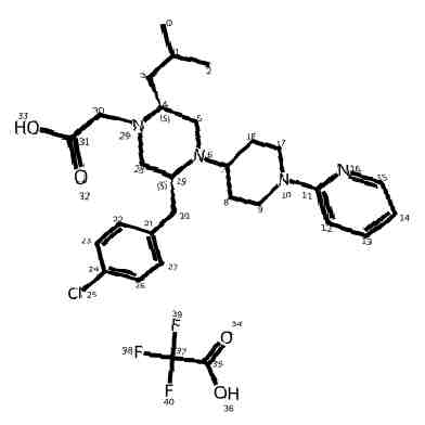 CC(C)C[C@H]1CN(C2CCN(c3ccccn3)CC2)[C@@H](Cc2ccc(Cl)cc2)CN1CC(=O)O.O=C(O)C(F)(F)F